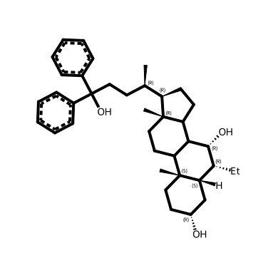 CC[C@H]1[C@@H](O)C2C3CC[C@H]([C@H](C)CCC(O)(c4ccccc4)c4ccccc4)[C@@]3(C)CCC2[C@@]2(C)CC[C@@H](O)C[C@@H]12